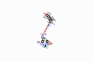 CC1=C(O)C(=O)C=C2C1=CC=C1[C@@]2(C)CC[C@@]2(C)[C@@H]3C[C@](C)(C(=O)NCCCOCCOCCOCNC(=O)N4CCC(c5cc(OC(C)C)c(Nc6ncc(Cl)c(Nc7ccccc7S(=O)(=O)C(C)C)n6)cc5C)CC4)CC[C@]3(C)CC[C@]12C